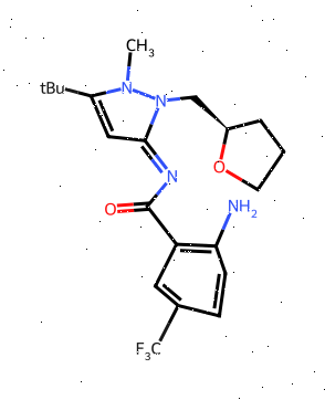 Cn1c(C(C)(C)C)c/c(=N\C(=O)c2cc(C(F)(F)F)ccc2N)n1C[C@H]1CCCO1